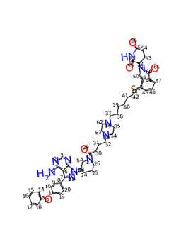 Nc1ncnc2c1c(-c1ccc(Oc3ccccc3)cc1)nn2[C@@H]1CCCN(C(=O)CCCN2CCN(CCCCCCSc3cccc4c3CN(C3CCC(=O)NC3=O)C4=O)CC2)C1